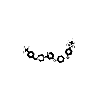 O=S(=O)(c1ccc(N[C@H]2CC[C@H](Oc3ccnc(N4CCN(Cc5ccc(C(F)(F)F)cc5)CC4)c3)CC2)cc1)C(F)(F)F